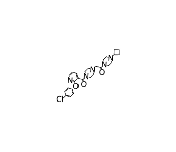 O=C(CN1CCN(C(=O)c2cccnc2Oc2ccc(Cl)cc2)CC1)N1CCN(C2CCC2)CC1